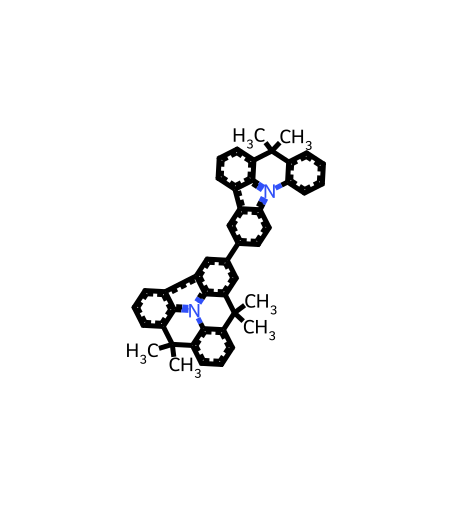 CC1(C)c2ccccc2-n2c3ccc(-c4cc5c6c(c4)c4cccc7c4n6-c4c(cccc4C5(C)C)C7(C)C)cc3c3cccc1c32